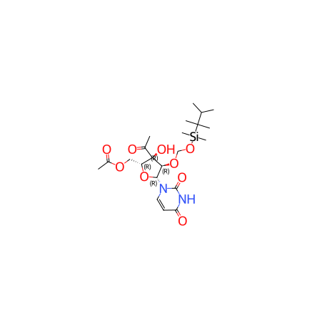 CC(=O)OC[C@H]1O[C@@H](n2ccc(=O)[nH]c2=O)[C@H](OCO[Si](C)(C)C(C)(C)C(C)C)[C@@]1(O)C(C)=O